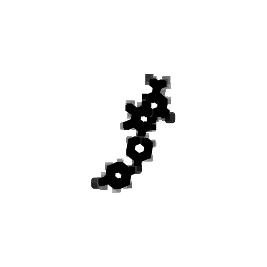 Cc1c(N2CCC(Oc3ccc(Cl)cc3)CC2)nn2c(=O)cc(C(F)F)nc2c1C